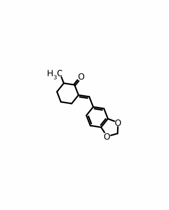 CC1CCC/C(=C\c2ccc3c(c2)OCO3)C1=O